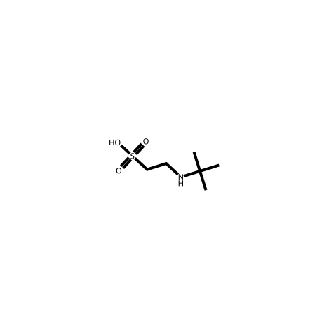 CC(C)(C)NCCS(=O)(=O)O